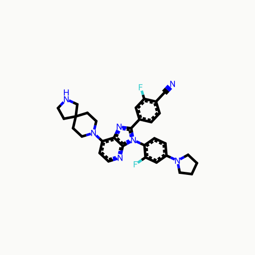 N#Cc1ccc(-c2nc3c(N4CCC5(CCNC5)CC4)ccnc3n2-c2ccc(N3CCCC3)cc2F)cc1F